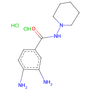 Cl.Cl.Nc1ccc(C(=O)NN2CCCCC2)cc1N